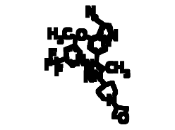 Cc1c(-c2cc(OC(C)c3cncc(C(F)(F)F)c3)c3c(C#N)cnn3c2)nnn1C1CCN(C2COC2)CC1